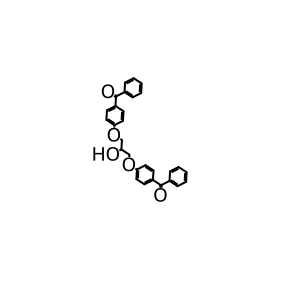 O=C(c1ccccc1)c1ccc(OCC(O)COc2ccc(C(=O)c3ccccc3)cc2)cc1